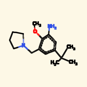 COc1c(N)cc(C(C)(C)C)cc1CN1CCCC1